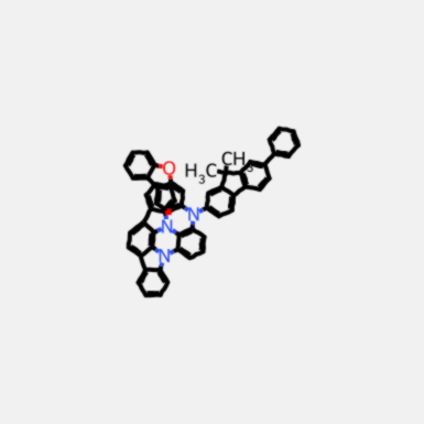 CC1(C)c2cc(-c3ccccc3)ccc2-c2ccc(N(c3ccc4c(c3)oc3ccccc34)c3cccc4c3n3c5ccccc5c5ccc6c7ccccc7n4c6c53)cc21